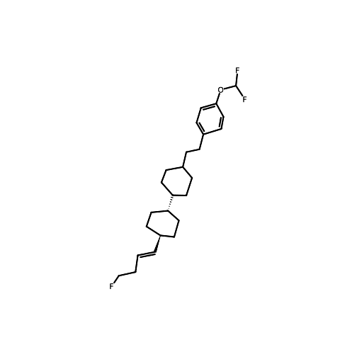 FCC/C=C/[C@H]1CC[C@H](C2CCC(CCc3ccc(OC(F)F)cc3)CC2)CC1